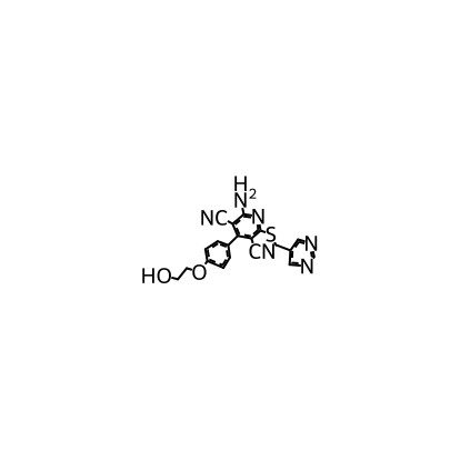 N#Cc1c(N)nc(SCc2cncnc2)c(C#N)c1-c1ccc(OCCO)cc1